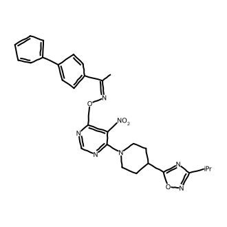 CC(=NOc1ncnc(N2CCC(c3nc(C(C)C)no3)CC2)c1[N+](=O)[O-])c1ccc(-c2ccccc2)cc1